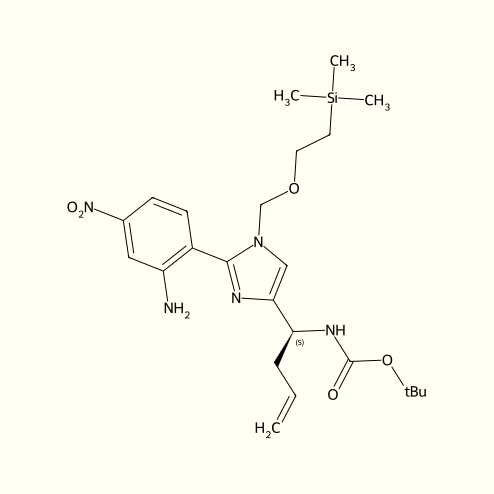 C=CC[C@H](NC(=O)OC(C)(C)C)c1cn(COCC[Si](C)(C)C)c(-c2ccc([N+](=O)[O-])cc2N)n1